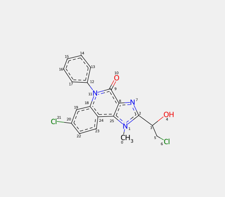 Cn1c(C(O)CCl)nc2c(=O)n(-c3ccccc3)c3cc(Cl)ccc3c21